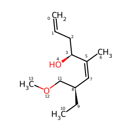 C=CC[C@H](O)/C(C)=C\[C@@H](CC)COC